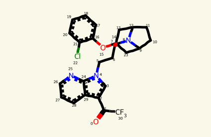 O=C(c1cn(CCCN2C3CCC2CC(Oc2ccccc2Cl)C3)c2ncccc12)C(F)(F)F